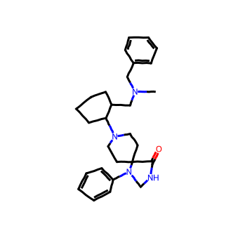 CN(Cc1ccccc1)CC1CCCCC1N1CCC2(CC1)C(=O)NCN2c1ccccc1